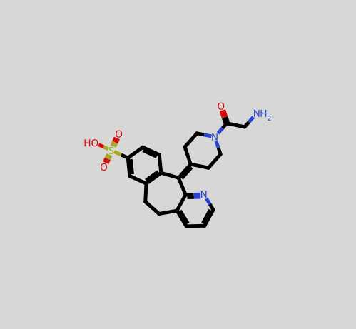 NCC(=O)N1CCC(=C2c3ccc(S(=O)(=O)O)cc3CCc3cccnc32)CC1